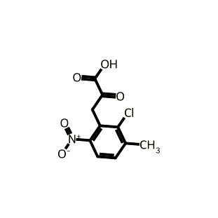 Cc1ccc([N+](=O)[O-])c(CC(=O)C(=O)O)c1Cl